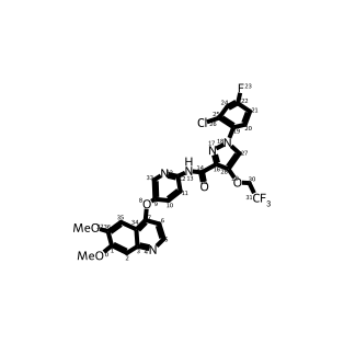 COc1cc2nccc(Oc3ccc(NC(=O)c4nn(-c5ccc(F)cc5Cl)cc4OCC(F)(F)F)nc3)c2cc1OC